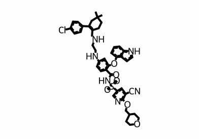 CC1(C)CCC(CNCCNc2ccc(C(=O)NS(=O)(=O)c3cnc(OCC4CCOCC4)c(C#N)c3)c(Oc3cccc4[nH]ccc34)c2)=C(c2ccc(Cl)cc2)C1